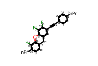 CCCc1ccc(C#Cc2cc3c(c(F)c2F)Oc2c(ccc(CCC)c2F)C3)cc1